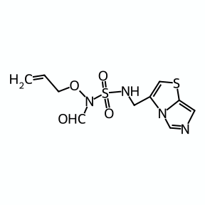 C=CCON(C=O)S(=O)(=O)NCc1csc2cncn12